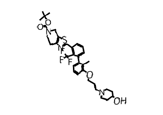 Cc1c(OCCCN2CCC(O)CC2)cccc1-c1cccc(-c2nc3c(s2)CN(C(=O)OC(C)(C)C)CC3)c1C(F)(F)F